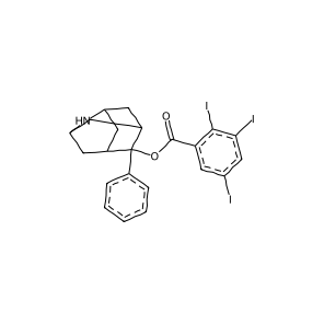 O=C(OC1(c2ccccc2)C2CC3CC1CC(C2)N3)c1cc(I)cc(I)c1I